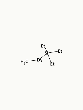 CC[Si](CC)(CC)[Dy][CH3]